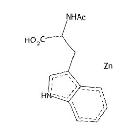 CC(=O)NC(Cc1c[nH]c2ccccc12)C(=O)O.[Zn]